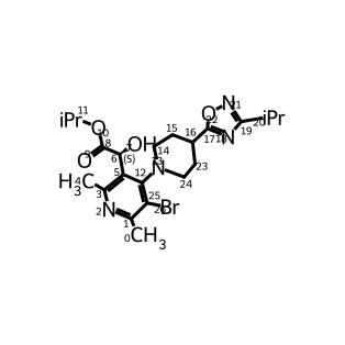 Cc1nc(C)c([C@H](O)C(=O)OC(C)C)c(N2CCC(c3nc(C(C)C)no3)CC2)c1Br